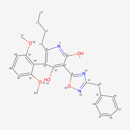 CCCCc1nc(O)c(-c2nc(Cc3ccccc3)no2)c(O)c1-c1c(OC)cccc1OC